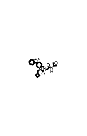 CN(C)[C@]1(c2ccccc2)CC[C@@]2(CC1)CN(CC(=O)NC1COC1)C(=O)N2CC1CCC1